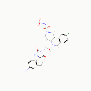 Nc1ccc2c(c1)CC[C@]21NC(=O)N(CC(=O)N(Cc2ccc(F)cc2)C2CCN(S(=O)(=O)NC(=O)O)CC2)C1=O